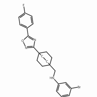 Fc1ccc(-c2nc(C34CCC(CNc5cccc(Br)c5)(CC3)CC4)no2)cc1